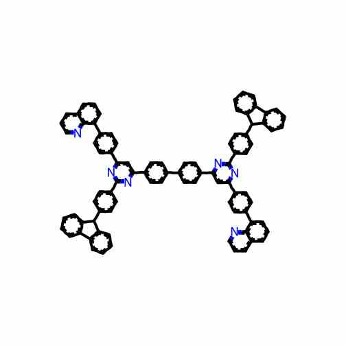 c1ccc2c(c1)-c1ccccc1C2c1ccc(-c2nc(-c3ccc(-c4ccc(-c5cc(-c6ccc(-c7cccc8cccnc78)cc6)nc(-c6ccc(C7c8ccccc8-c8ccccc87)cc6)n5)cc4)cc3)cc(-c3ccc(-c4cccc5cccnc45)cc3)n2)cc1